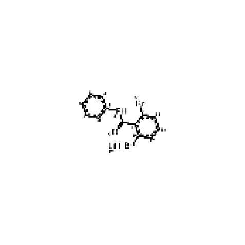 O=C(Pc1ccccc1)c1c(Br)cccc1Br.[LiH]